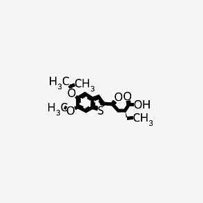 CC[C@H](CC(=O)c1cc2cc(OC(C)C)c(OC)cc2s1)C(=O)O